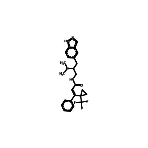 CN(C)C(CNC(=O)C=C(c1ccccc1)C1(C(F)(F)F)CC1)Cc1ccc2[nH]ncc2c1